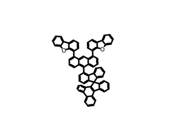 c1ccc2c(c1)-c1c(-c3c4cccc(-c5cccc6c5oc5ccccc56)c4cc4c(-c5cccc6c5oc5ccccc56)cccc34)cccc1C21c2ccccc2-c2c1c1ccccc1c1ccccc21